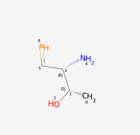 C[C@H](O)[C@@H](N)C=P